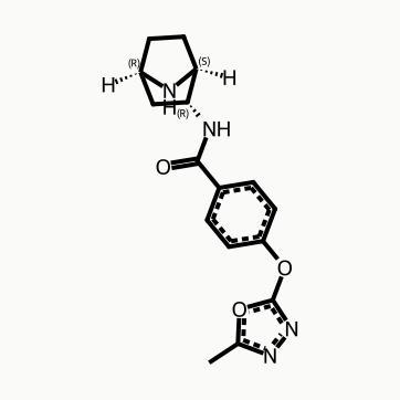 Cc1nnc(Oc2ccc(C(=O)N[C@@H]3C[C@H]4CC[C@@H]3N4)cc2)o1